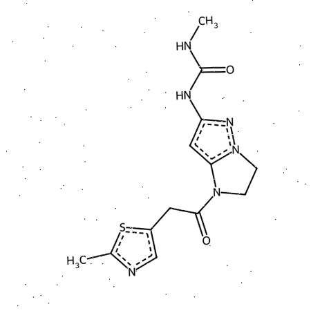 CNC(=O)Nc1cc2n(n1)CCN2C(=O)Cc1cnc(C)s1